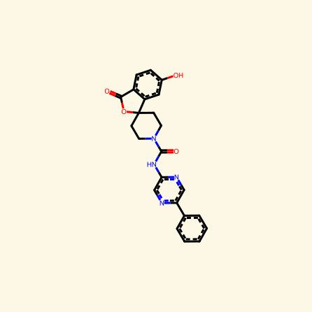 O=C1OC2(CCN(C(=O)Nc3cnc(-c4ccccc4)cn3)CC2)c2cc(O)ccc21